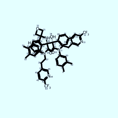 Cc1ccc(N(CCc2ccc(C(F)(F)F)nc2)C(=O)[C@](O)(c2ccc(F)cc2)[C@](NC2(CN)COC2)(C(=O)N(CCc2ccc(C(F)(F)F)nc2)c2ccc(C)c(C)c2)c2ccccc2)cc1C